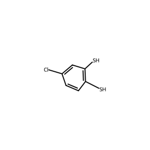 Sc1ccc(Cl)cc1S